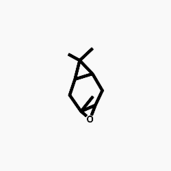 CC12CC3C(CC1O2)C3(C)C